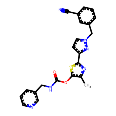 Cc1nc(-c2ccn(Cc3cccc(C#N)c3)n2)sc1OC(=O)NCc1cccnc1